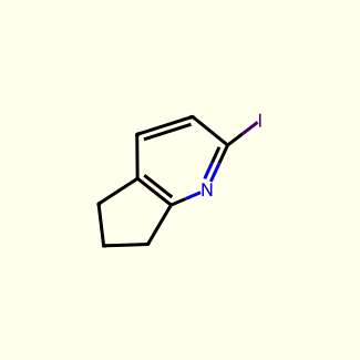 Ic1ccc2c(n1)CCC2